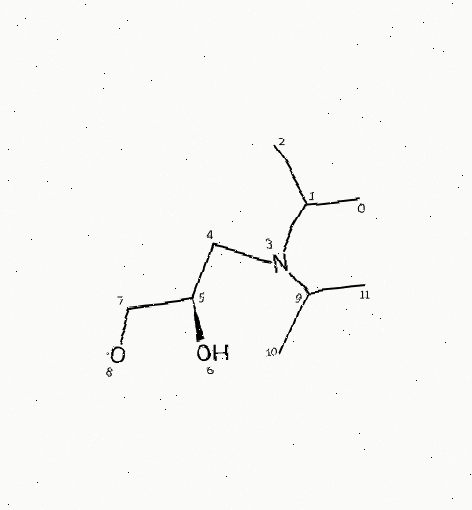 CC(C)N(C[C@@H](O)C[O])C(C)C